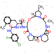 Cc1cccc(C[C@H](NC(=O)Nc2ccc(Cl)cc2F)C(=O)N[C@@H]2C(=O)N3CCC[C@H]3C(=O)N3CCCC[C@H]3C(=O)N[C@@H](C)C(=O)N3C[C@H](C)C[C@H]3CO[C@H]2C)c1